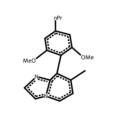 CCCc1cc(OC)c(-c2c(C)ccn3ccnc23)c(OC)c1